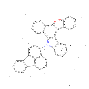 c1ccc2c(c1)-c1cccc3c(-n4c5ccccc5c5c6c7ccccc7oc6c6ccccc6c54)ccc-2c13